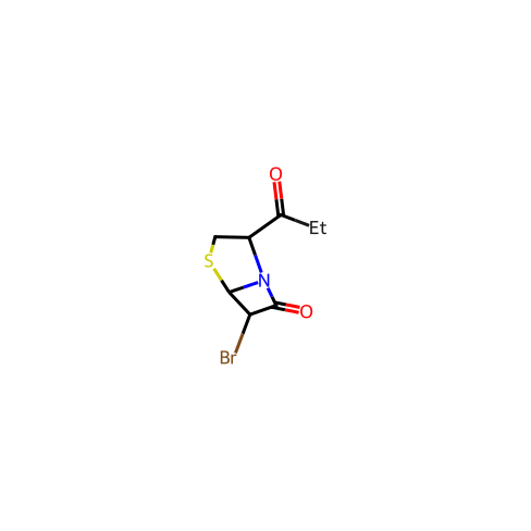 CCC(=O)C1CSC2C(Br)C(=O)N12